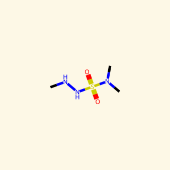 CNNS(=O)(=O)N(C)C